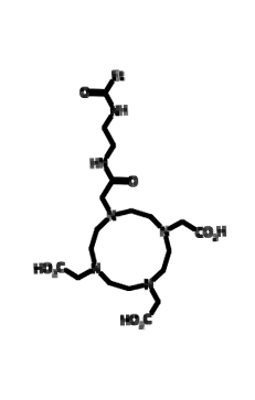 CCC(=O)NCCNC(=O)CN1CCN(CC(=O)O)CCN(CC(=O)O)CCN(CC(=O)O)CC1